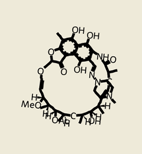 CO[C@@H]1/C=C/O[C@@]2(C)Oc3c(C)c(O)c4c(O)c(c(/C=N/N5CCN(C)CC5)c(O)c4c3C2=O)NC(=O)C(C)C/C=C/[C@H](C)[C@H](O)[C@@H](C)C[C@@H](C)[C@H](OC(C)=O)[C@@H]1C